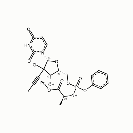 CC#CC1(Cl)[C@@H](O)[C@@H](COP(=O)(N[C@@H](C)C(=O)OC(C)C)Oc2ccccc2)O[C@H]1n1ccc(=O)[nH]c1=O